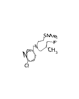 CSCCN(Cc1ccc(Cl)nc1)C[C@@H](C)CF